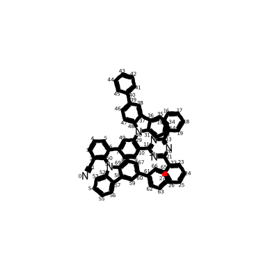 N#Cc1cccc(-c2ccc(-c3nc(-c4ccccc4)nc(-c4ccccc4)n3)c(-n3c4ccccc4c4cc(-c5ccccc5)ccc43)c2)c1-n1c2ccccc2c2cc(-c3ccccc3)ccc21